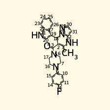 CC1=C(C(=O)N2CCN(c3ccc(F)cc3)CC2)C(c2c[nH]c3ccccc23)n2nccc2N1